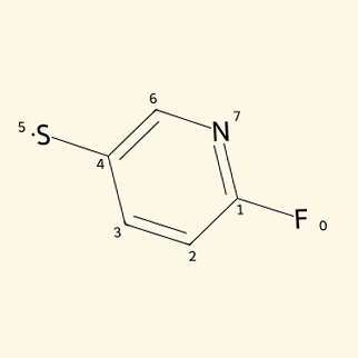 Fc1ccc([S])cn1